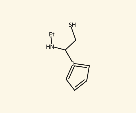 CCNC(CS)I1=CC=CC=1